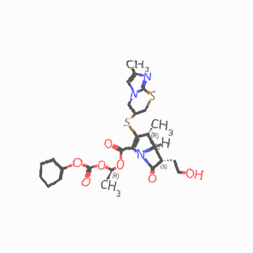 Cc1cn2c(n1)SCC(SC1=C(C(=O)O[C@@H](C)OC(=O)OC3CCCCC3)N3C(=O)[C@@H](CCO)[C@H]3[C@H]1C)C2